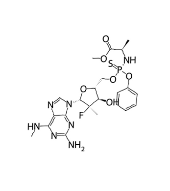 CNc1nc(N)nc2c1ncn2[C@@H]1O[C@H](CO[P@](=S)(N[C@H](C)C(=O)OC)Oc2ccccc2)[C@@H](O)[C@@]1(C)F